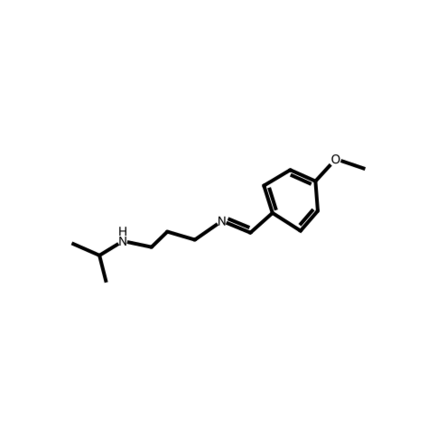 COc1ccc(C=NCCCNC(C)C)cc1